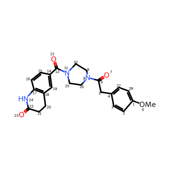 COc1ccc(CC(=O)N2CCN(C(=O)c3ccc4c(c3)CCC(=O)N4)CC2)cc1